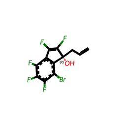 C=CC[C@]1(O)C(F)=C(F)c2c(F)c(F)c(F)c(Br)c21